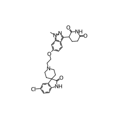 Cn1nc(C2CCC(=O)NC2=O)c2ccc(OCCN3CCC4(CC3)C(=O)Nc3ccc(Cl)cc34)cc21